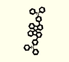 C1=CCCC(N(c2ccccc2)c2ccc(-c3cccc4c3C3=C(CCC=C3)C43c4ccccc4-c4c(-c5ccc(N(C6=CC=CCC6)c6ccccc6)cc5)cccc43)cc2)=C1